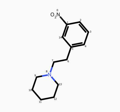 O=[N+]([O-])c1cccc(CCN2CCCCC2)c1